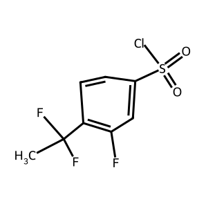 CC(F)(F)c1ccc(S(=O)(=O)Cl)cc1F